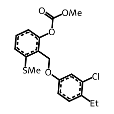 CCc1ccc(OCc2c(OC(=O)OC)cccc2SC)cc1Cl